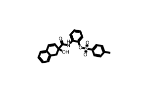 Cc1ccc(S(=O)(=O)Oc2ccccc2NC(=O)C2(O)C=Cc3ccccc3C2)cc1